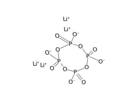 O=P1([O-])OP(=O)([O-])OP(=O)([O-])OP(=O)([O-])O1.[Li+].[Li+].[Li+].[Li+]